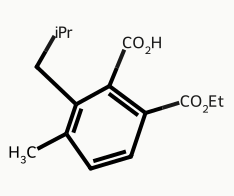 CCOC(=O)c1ccc(C)c(CC(C)C)c1C(=O)O